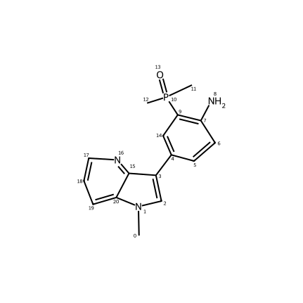 Cn1cc(-c2ccc(N)c(P(C)(C)=O)c2)c2ncccc21